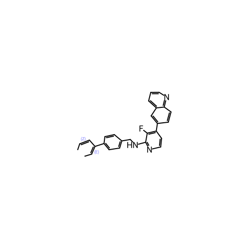 C/C=C\C(=C/C)c1ccc(CNc2nccc(-c3ccc4ncccc4c3)c2F)cc1